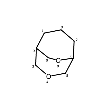 C1CC2COCC(C1)OC2